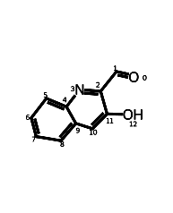 O=Cc1nc2ccccc2cc1O